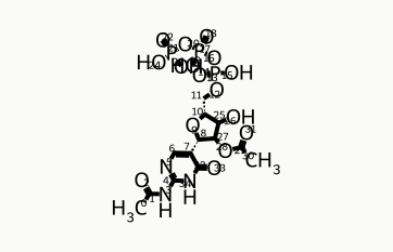 CC(=O)Nc1ncc([C@@H]2O[C@H](COP(=O)(O)OP(=O)(O)OP(=O)(O)O)C(O)C2OC(C)=O)c(=O)[nH]1